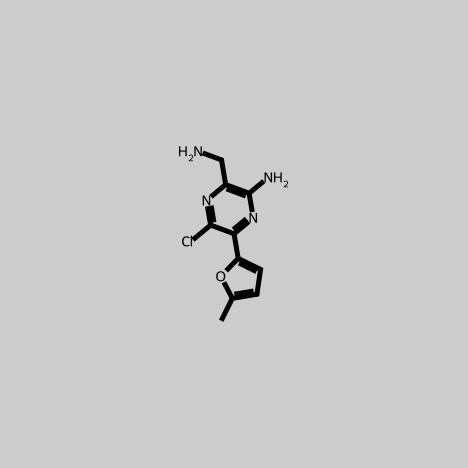 Cc1ccc(-c2nc(N)c(CN)nc2Cl)o1